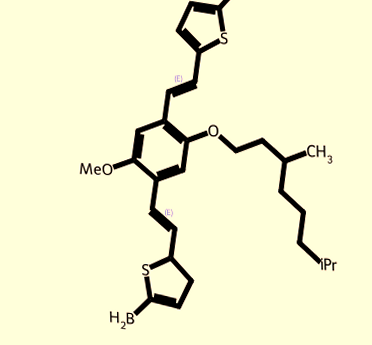 BC1=CCC(/C=C/c2cc(OCCC(C)CCCC(C)C)c(/C=C/c3ccc(Br)s3)cc2OC)S1